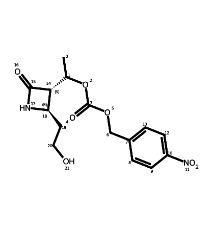 CC(OC(=O)OCc1ccc([N+](=O)[O-])cc1)[C@H]1C(=O)N[C@@H]1CCO